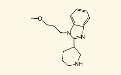 COCCCn1c(C2CCCNC2)nc2ccccc21